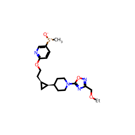 CCOCc1noc(N2CCC([C@H]3C[C@H]3CCOc3ccc([S+](C)[O-])cn3)CC2)n1